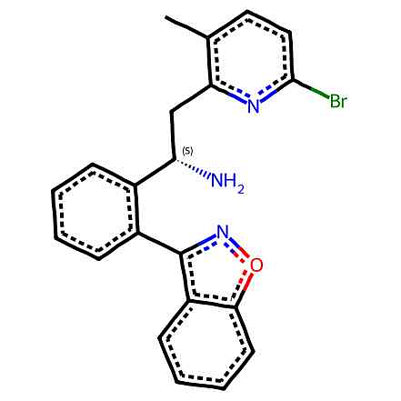 Cc1ccc(Br)nc1C[C@H](N)c1ccccc1-c1noc2ccccc12